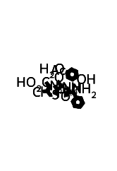 CC(=O)c1ccc(O)cc1.N[C@@H](C(=O)N[C@@H]1C(=O)N2C(C(=O)O)=C(Cl)CS[C@H]12)c1ccccc1.O